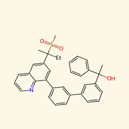 CCC(C)(c1cc(-c2cccc(-c3cccc(C(C)(O)c4ccccc4)c3)c2)c2ncccc2c1)S(C)(=O)=O